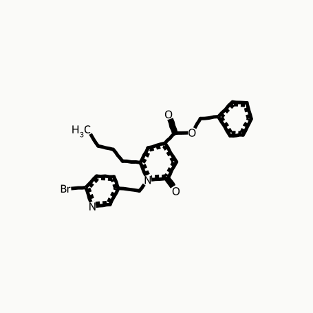 CCCCc1cc(C(=O)OCc2ccccc2)cc(=O)n1Cc1ccc(Br)nc1